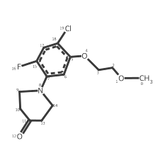 COCCOc1cc(N2CCC(=O)CC2)c(F)cc1Cl